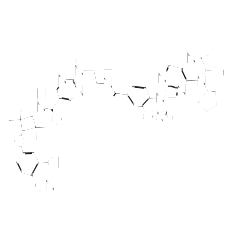 CCC1C(=O)N(C)c2cnc(Nc3ccc(C(=O)NCCN(C)c4ncc(C(=O)NC5C(C)(C)C(Oc6ccc(C#N)c(Cl)c6)C5(C)C)cn4)cc3OC)nc2N1C1CCCC1